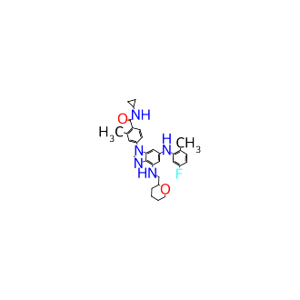 Cc1ccc(F)cc1Nc1cc(NCC2CCCCO2)c2ncn(-c3ccc(C(=O)NC4CC4)c(C)c3)c2c1